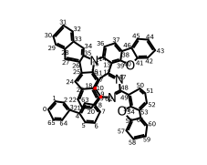 c1ccc(-c2cccc(C3CCC(c4c(-n5c6cc7ccccc7cc6c6cc7ccccc7cc65)ccc5c4oc4ccccc45)=NC(c4cccc5c4oc4ccccc45)=N3)c2)cc1